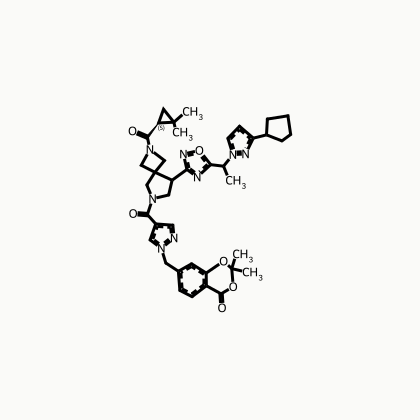 CC(c1nc(C2CN(C(=O)c3cnn(Cc4ccc5c(c4)OC(C)(C)OC5=O)c3)CC23CN(C(=O)[C@H]2CC2(C)C)C3)no1)n1ccc(C2CCCC2)n1